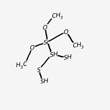 CO[Si](OC)(OC)[SH](S)SS